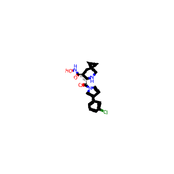 O=C(NO)[C@H]1CC2(CC2)CN[C@@H]1C(=O)n1ccc(-c2cccc(Cl)c2)c1